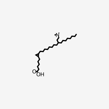 CCCCCCCCC(CCCCCCCCC1CC1CCCCCC(=O)O)CCN(C)C